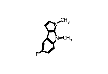 Cn1ccc2c3cc(F)ccc3n(C)c21